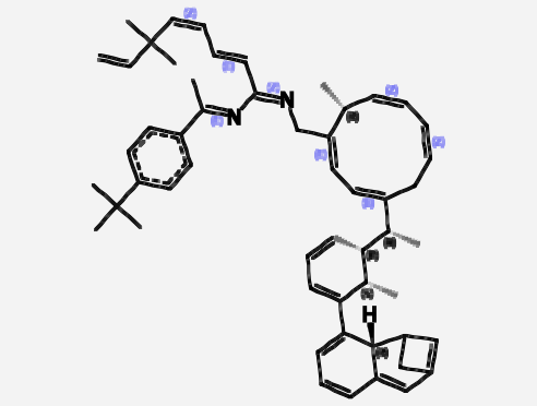 C=CC(C)(C)\C=C/C=C/C(=N/C/C1=C/C=C(/[C@H](C)[C@H]2C=CC=C(C3=CC=CC4=CC5=CC(C5)[C@H]43)[C@H]2C)C/C=C\C=C/[C@H]1C)/N=C(\C)c1ccc(C(C)(C)C)cc1